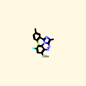 COc1cc(F)cc2c1nnc1c(C)nc(-c3cc(C)ccc3Cl)n12